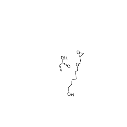 C=CC(=O)O.OCCCCCCOCC1CO1